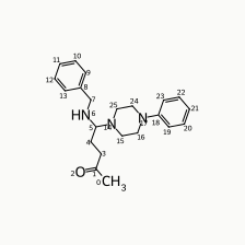 CC(=O)CCC(NCc1ccccc1)N1CCN(c2ccccc2)CC1